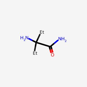 CCC(N)(CC)C(N)=O